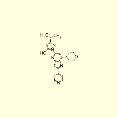 CC(C)c1cc(O)n(-c2cc(N3CCOCC3)n3nc(-c4ccncc4)cc3n2)n1